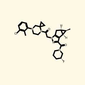 Cc1c(Cl)cccc1N1CCN(C(=O)Cn2nc(C(=O)N3CCC[C@@H](F)C3)c3c2C[C@H]2[C@@H](C)[C@@H]32)C2(CC2)C1